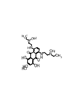 CCN(O)CCNc1ccc(NCCN(O)CC)c2c1C(=O)c1c(O)ccc(O)c1C2=O.Cl.Cl